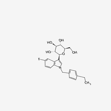 CCc1ccc(Cn2cc([C@@H]3O[C@H](CO)[C@@H](O)[C@H](O)[C@H]3O)c3cc(F)ccc32)cc1